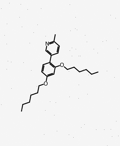 CCCCCCOc1ccc(-c2ccc(C)nc2)c(OCCCCCC)c1